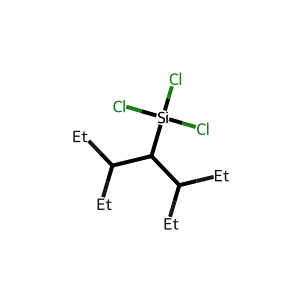 CCC(CC)C(C(CC)CC)[Si](Cl)(Cl)Cl